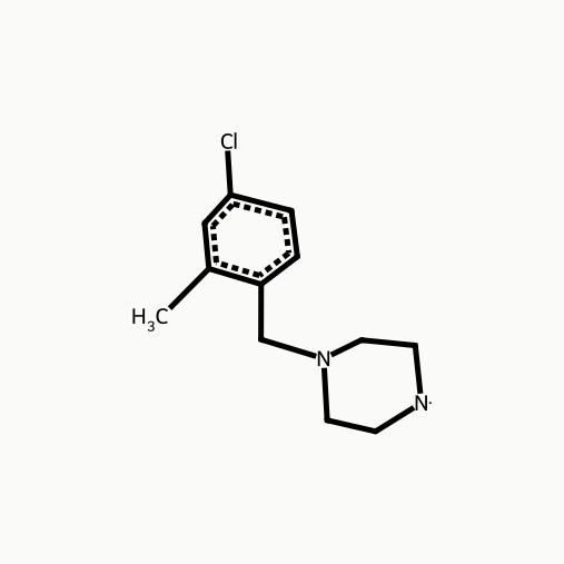 Cc1cc(Cl)ccc1CN1CC[N]CC1